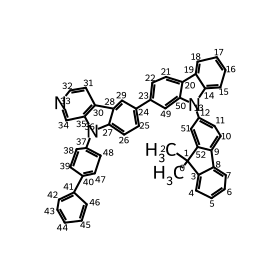 CC1(C)c2ccccc2-c2ccc(-n3c4ccccc4c4ccc(-c5ccc6c(c5)c5ccncc5n6-c5ccc(-c6ccccc6)cc5)cc43)cc21